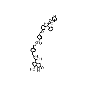 O=C(N[C@@H](c1ccccc1)c1cccc(OCc2ccc(C(=O)OCCc3ccc(CNCC(O)c4ccc(O)c5[nH]c(=O)ccc45)cc3)cc2)c1)OC1CN2CCC1CC2